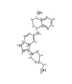 CCC[C@H]1CC[C@@H](Oc2ccc3nnc(N4CCC(CO)CC4)n3c2)c2ccccc21